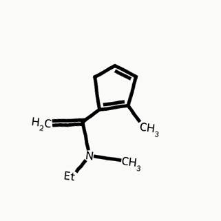 C=C(C1=C(C)C=CC1)N(C)CC